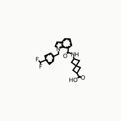 O=C(NC1CC2(C1)CC(C(=O)O)C2)c1cccc2ccn(Cc3ccc(C(F)F)cc3)c12